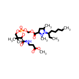 CCCCCC(CC)N1C(C)CC(C(=O)OCOP2(=O)OCC(C)(C)[C@H](C(=O)NCCC(=O)OC)O2)N1C